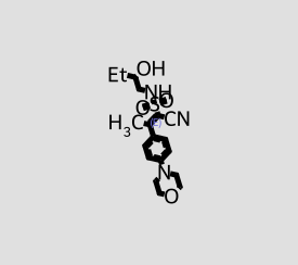 CCC(O)CNS(=O)(=O)/C(C#N)=C(\C)c1ccc(N2CCOCC2)cc1